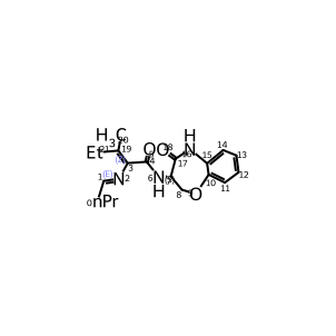 CCC/C=N/C(C(=O)N[C@H]1COc2ccccc2NC1=O)=C(/C)CC